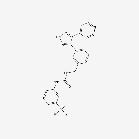 O=C(NCc1cccc(-c2n[nH]cc2-c2ccncc2)c1)Nc1cccc(C(F)(F)F)c1